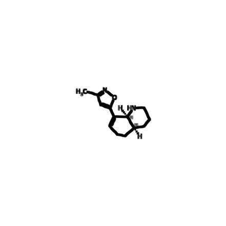 Cc1cc(C2=CCC[C@@H]3CCCN[C@H]23)on1